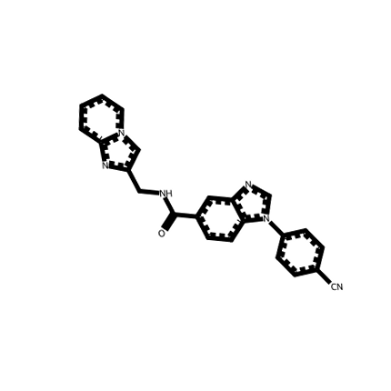 N#Cc1ccc(-n2cnc3cc(C(=O)NCc4cn5ccccc5n4)ccc32)cc1